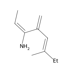 C=C(/C=C(\C)CC)/C(N)=C\C